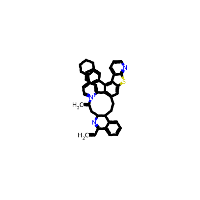 C=CC1=NC2CC(=C)[n+]3ccc(C4CCCCC4)cc3-c3c(cc4sc5ncccc5c4c3-c3ccccc3)CCC2c2ccccc21